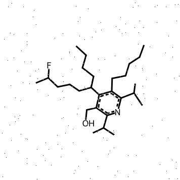 CCCCCc1c(C(C)C)nc(C(C)C)c(CO)c1C(CCCC)CCCC(C)F